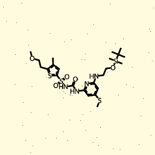 COCCc1sc(S(=O)(=O)NC(=O)Nc2cc(SC)cc(NCCO[Si](C)(C)C(C)(C)C)n2)cc1C